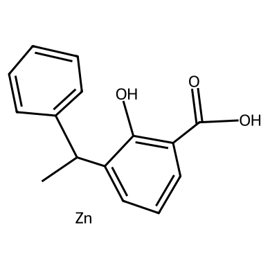 CC(c1ccccc1)c1cccc(C(=O)O)c1O.[Zn]